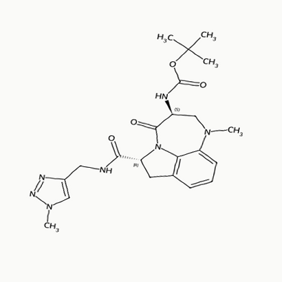 CN1C[C@H](NC(=O)OC(C)(C)C)C(=O)N2c3c(cccc31)C[C@@H]2C(=O)NCc1cn(C)nn1